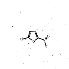 O=[N+]([O-])c1ccc(Cl)o1